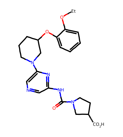 CCOc1ccccc1OC1CCCN(c2cncc(NC(=O)N3CCC(C(=O)O)C3)n2)C1